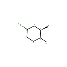 CC1CCC(F)C[C@H]1C